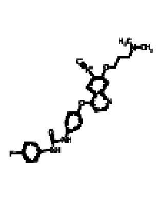 [C-]#[N+]c1cc2c(Oc3ccc(NC(=O)Nc4ccc(F)cc4)cc3)ccnc2cc1OCCCN(C)C